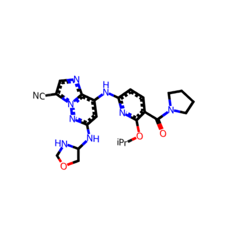 CC(C)Oc1nc(Nc2cc(NC3COCN3)nn3c(C#N)cnc23)ccc1C(=O)N1CCCC1